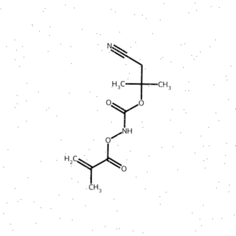 C=C(C)C(=O)ONC(=O)OC(C)(C)CC#N